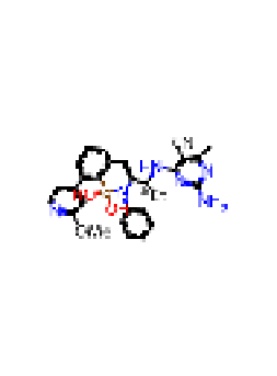 CC[C@H](Nc1nc(N)nc(C)c1C#N)C1=Cc2cccc(-c3ccnc(OC)c3)c2S(O)(O)N1c1ccccc1